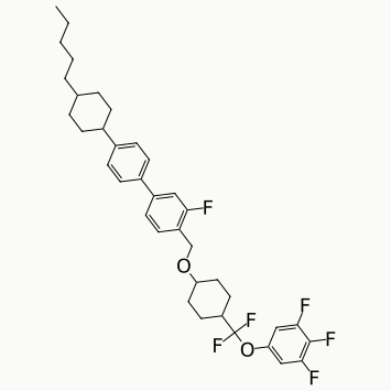 CCCCCC1CCC(c2ccc(-c3ccc(COC4CCC(C(F)(F)Oc5cc(F)c(F)c(F)c5)CC4)c(F)c3)cc2)CC1